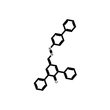 O=C1C(c2ccccc2)=CC(=CN=Nc2ccc(-c3ccccc3)cc2)C=C1c1ccccc1